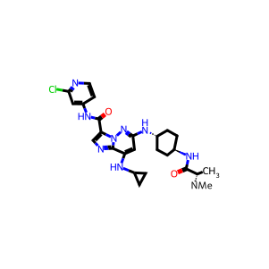 CN[C@@H](C)C(=O)N[C@H]1CC[C@H](Nc2cc(NC3CC3)c3ncc(C(=O)Nc4ccnc(Cl)c4)n3n2)CC1